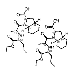 CCC[C@H](N[C@@H](C)C(=O)N1[C@H](C(=O)O)C[C@@H]2CCCC[C@@H]21)C(=O)OCC.CCC[C@H](N[C@@H](C)C(=O)N1[C@H](C(=O)O)C[C@@H]2CCCC[C@@H]21)C(=O)OCC